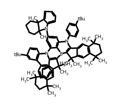 CC(C)(C)c1ccc(N2C3=C(B4C5=C(c6cc7c(cc6C5(C)C)C(C)(C)CCC7(C)C)N(c5ccc(C(C)(C)C)cc5-c5ccccc5)c5cc(N6c7ccccc7C7(C)CCCCC67C)cc2c54)C(C)(C)c2cc4c(cc23)C(C)(C)CCC4(C)C)cc1